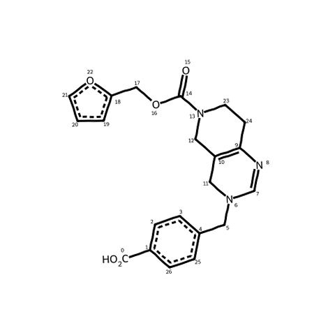 O=C(O)c1ccc(CN2C=NC3=C(C2)CN(C(=O)OCc2ccco2)CC3)cc1